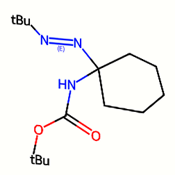 CC(C)(C)/N=N/C1(NC(=O)OC(C)(C)C)CCCCC1